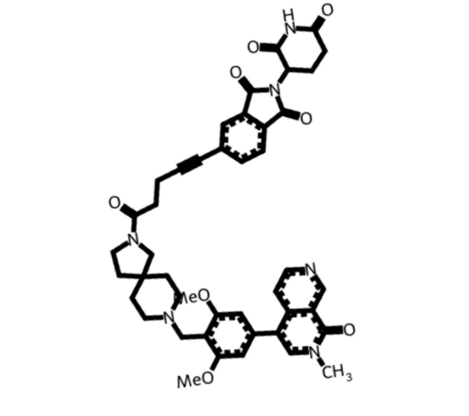 COc1cc(-c2cn(C)c(=O)c3cnccc23)cc(OC)c1CN1CCC2(CC1)CCN(C(=O)CCC#Cc1ccc3c(c1)C(=O)N(C1CCC(=O)NC1=O)C3=O)C2